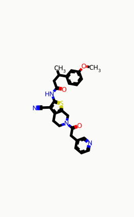 COc1cccc(C(C)CC(=O)Nc2sc3c(c2C#N)CCN(C(=O)Cc2cccnc2)C3)c1